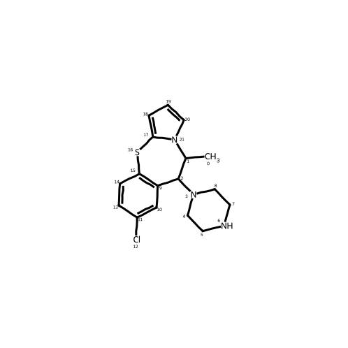 CC1C(N2CCNCC2)c2cc(Cl)ccc2Sc2cccn21